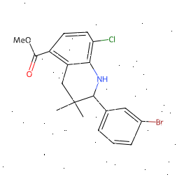 COC(=O)c1ccc(Cl)c2c1CC(C)(C)C(c1cccc(Br)c1)N2